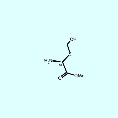 COC(=O)[C@@H](N)SCO